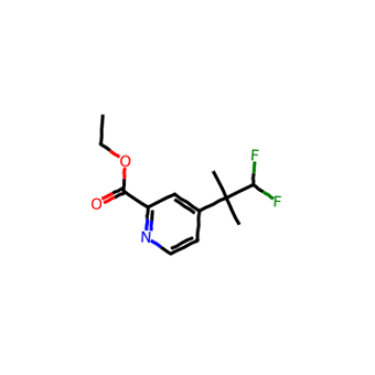 CCOC(=O)c1cc(C(C)(C)C(F)F)ccn1